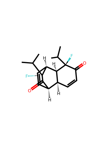 CC(C)[C@]1(F)C(=O)C=C[C@@H]2[C@H]1[C@@H]1C=C[C@H]2C(=O)[C@@]1(F)C(C)C